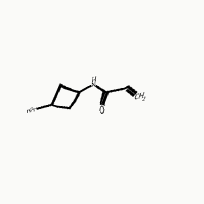 C=CC(=O)NC1CC(CCC)C1